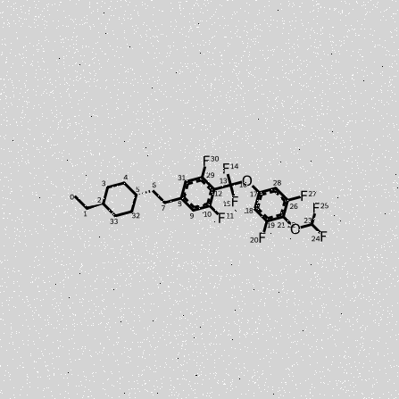 CC[C@H]1CC[C@H](CCc2cc(F)c(C(F)(F)Oc3cc(F)c(OC(F)F)c(F)c3)c(F)c2)CC1